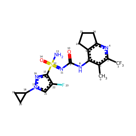 Cc1c(C(F)(F)F)nc2c(c1NC(=O)N=S(N)(=O)c1nn(C3CC3)cc1F)CCC2